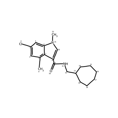 Cc1cc(Cl)cc2c1c(C(=O)NCC1CCCCCC1)cn2C